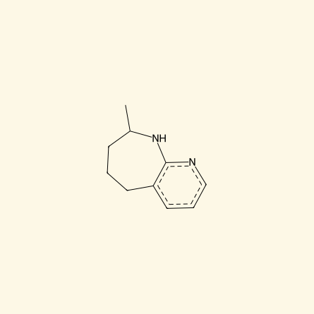 CC1CCCc2cccnc2N1